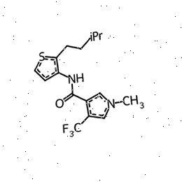 CC(C)CCc1sccc1NC(=O)c1cn(C)cc1C(F)(F)F